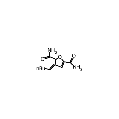 CCCCC=C1C=C(C(N)=O)OC1C(N)=O